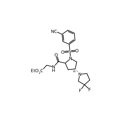 CCOC(=O)CNC(=O)C1C[C@@H](N2CCC(F)(F)C2)CN1S(=O)(=O)c1cccc(C#N)c1